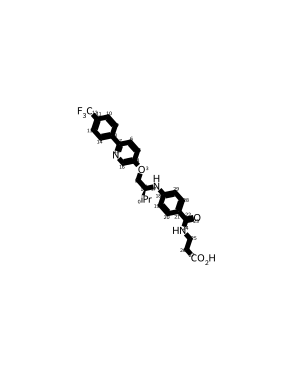 CC(C)[C@@H](COc1ccc(-c2ccc(C(F)(F)F)cc2)nc1)Nc1ccc(C(=O)NCCC(=O)O)cc1